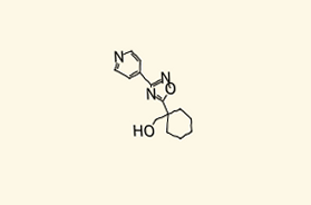 OCC1(c2nc(-c3ccncc3)no2)CCCCC1